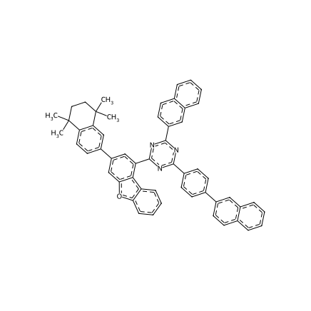 CC1(C)CCC(C)(C)c2cc(-c3cc(-c4nc(-c5ccc(-c6ccc7ccccc7c6)cc5)nc(-c5ccc6ccccc6c5)n4)c4c(c3)oc3ccccc34)ccc21